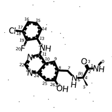 CNC(=O)[C@@H](C)NCc1cc2c(Nc3cccc(Cl)c3F)ncnc2cc1O